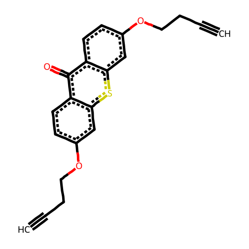 C#CCCOc1ccc2c(=O)c3ccc(OCCC#C)cc3sc2c1